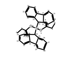 CCC(=O)[O][Ti]([O]C(=O)CC)([CH]1c2ccccc2-c2ccccc21)[CH]1c2ccccc2-c2ccccc21